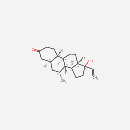 C=C[C@]1(O)CC[C@H]2[C@H]3[C@H](CC[C@@]21C)[C@H]1CCC(=O)C[C@@H]1C[C@H]3C